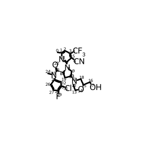 Cc1cc(C(F)(F)F)c(C#N)c(N2C[C@@H](N3CCOC(CO)C3)C[C@H]2C(=O)N(C)c2ccc(F)c(Cl)c2)n1